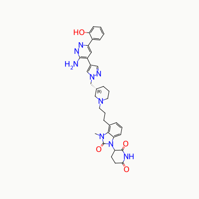 Cn1c(=O)n(C2CCC(=O)NC2=O)c2cccc(CCCN3CCC[C@@H](Cn4cc(-c5cc(-c6ccccc6O)nnc5N)cn4)C3)c21